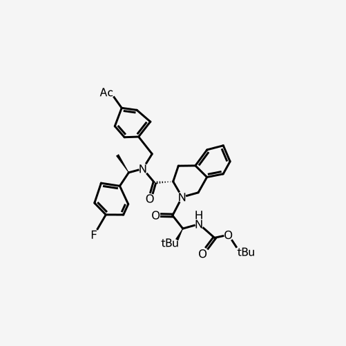 CC(=O)c1ccc(CN(C(=O)[C@@H]2Cc3ccccc3CN2C(=O)[C@@H](NC(=O)OC(C)(C)C)C(C)(C)C)[C@H](C)c2ccc(F)cc2)cc1